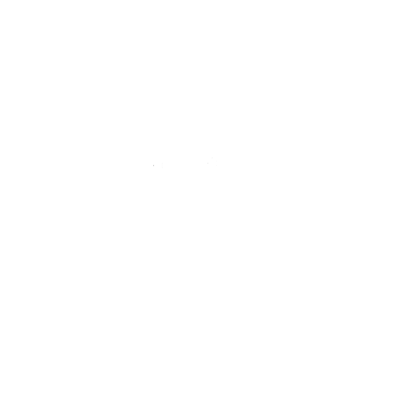 CCCCCCC.CCO.CCOCC